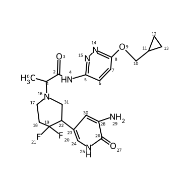 CC(C(=O)Nc1ccc(OCC2CC2)nn1)N1CCC(F)(F)C(c2c[nH]c(=O)c(N)c2)C1